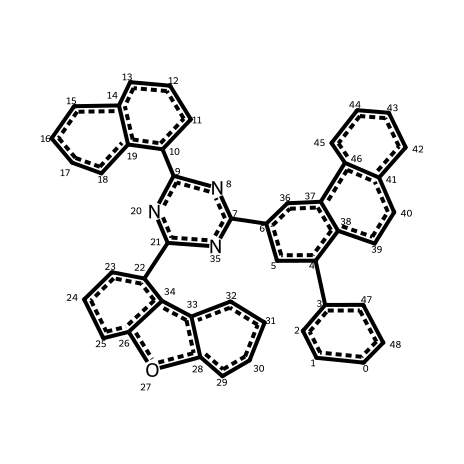 c1ccc(-c2cc(-c3nc(-c4cccc5ccccc45)nc(-c4cccc5oc6ccccc6c45)n3)cc3c2ccc2ccccc23)cc1